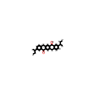 CCC(C)c1ccc2c(c1)C(=O)c1cc3c(cc1C2)C(=O)c1cc(C(C)CC)ccc1C3